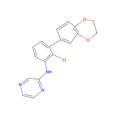 Clc1c(Nc2cnccn2)cccc1-c1ccc2c(c1)OCCO2